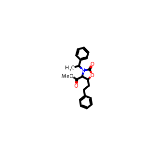 COC(=O)C1C(CCc2ccccc2)OC(=O)N1C(C)c1ccccc1